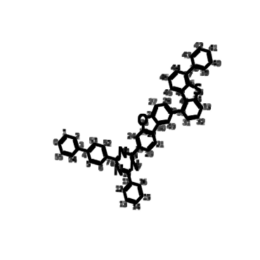 c1ccc(-c2ccc(-c3nc(-c4ccccc4)nc(-c4ccc5c(c4)oc4ccc(-c6cccc7sc8c(-c9ccccc9)cccc8c67)cc45)n3)cc2)cc1